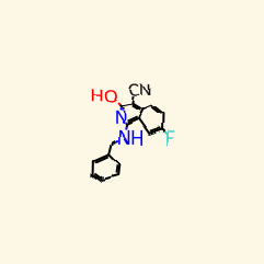 N#Cc1c(O)nc(NCc2ccccc2)c2cc(F)ccc12